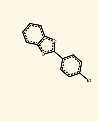 CCc1ccc(-c2nc3ccccc3o2)cc1